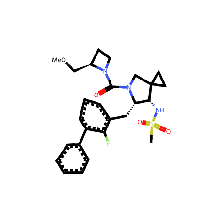 COC[C@H]1CCN1C(=O)N1CC2(CC2)[C@H](NS(C)(=O)=O)[C@@H]1Cc1cccc(-c2ccccc2)c1F